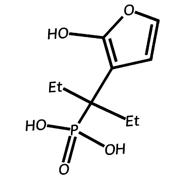 CCC(CC)(c1ccoc1O)P(=O)(O)O